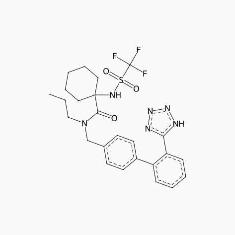 CCCN(Cc1ccc(-c2ccccc2-c2nnn[nH]2)cc1)C(=O)C1(NS(=O)(=O)C(F)(F)F)CCCCC1